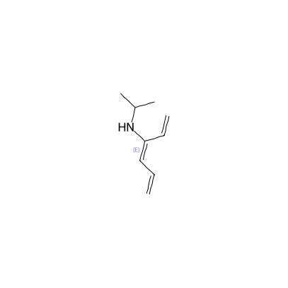 C=C/C=C(\C=C)NC(C)C